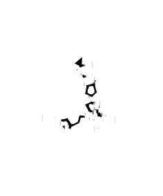 Cc1cc(CC(=O)Nc2cc([C@@H]3C[C@H](OC(=O)NC4(C)CC4)[C@@H](F)C3)nn2C(C)(C)C)on1